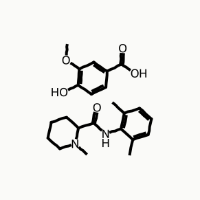 COc1cc(C(=O)O)ccc1O.Cc1cccc(C)c1NC(=O)C1CCCCN1C